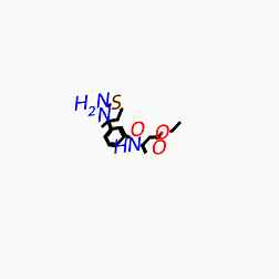 CCOC(=O)CC(C)NC(=O)c1cccc(C2(C)CCSC(N)=N2)c1